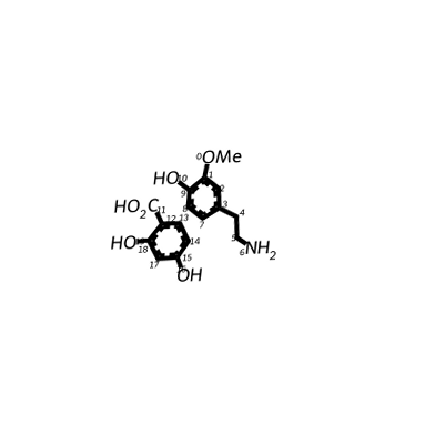 COc1cc(CCN)ccc1O.O=C(O)c1ccc(O)cc1O